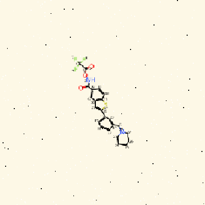 O=C(NOC(=O)C(F)(F)F)c1ccc2sc(-c3cccc(CN4CCCCC4)c3)cc2c1